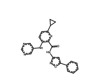 O=C(Nc1cc(-c2ccccc2)on1)c1nc(C2CC2)ccc1Nc1cncnc1